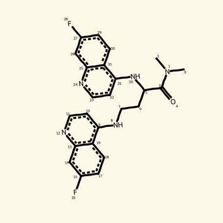 CN(C)C(=O)C(CCNc1ccnc2cc(F)ccc12)Nc1ccnc2cc(F)ccc12